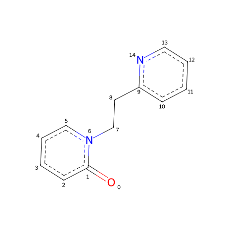 O=c1ccccn1CCc1ccccn1